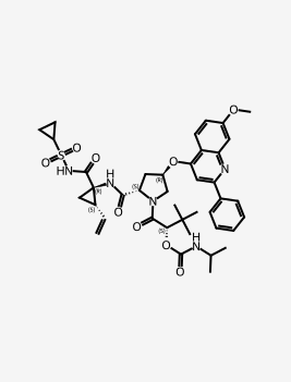 C=C[C@@H]1C[C@]1(NC(=O)[C@@H]1C[C@@H](Oc2cc(-c3ccccc3)nc3cc(OC)ccc23)CN1C(=O)[C@@H](OC(=O)NC(C)C)C(C)(C)C)C(=O)NS(=O)(=O)C1CC1